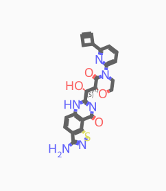 Nc1nsc2c1ccc1[nH]c([C@H](O)[C@H]3OCCN(c4cccc(C5C#CC5)n4)C3=O)nc(=O)c12